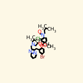 COc1ccc(Br)cc1Cc1c(CN(CCOc2c(OC)ccc(N(C=O)CCC(C)C)c2Cl)CC(C)C)nc2ccccn12